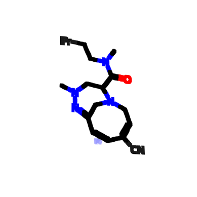 CC(C)CCN(C)C(=O)C1CN(C)N=C2/C=C\C(C#N)=CCN1C2